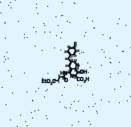 CCOC(=O)CCC(=O)Nc1nc(C(=O)O)c(O)c2ncc(Cc3ccc(F)cc3)cc12